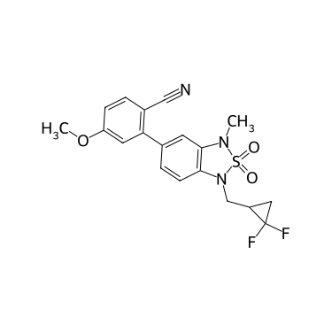 COc1ccc(C#N)c(-c2ccc3c(c2)N(C)S(=O)(=O)N3CC2CC2(F)F)c1